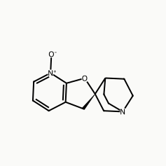 [O-][n+]1cccc2c1O[C@@]1(C2)CN2CCC1CC2